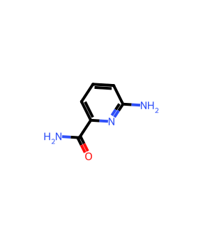 NC(=O)c1cccc(N)n1